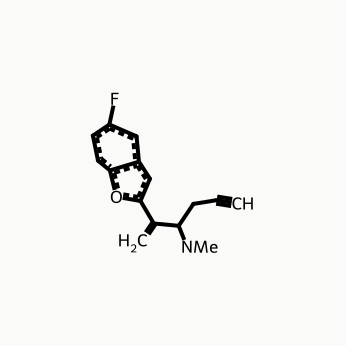 C#CCC(NC)C(=C)c1cc2cc(F)ccc2o1